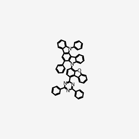 c1ccc(-c2nc(-c3ccccc3)nc(-c3ccc(-n4c5ccccc5c5c4c(-c4ccccc4)cc4c6ccccc6n(-c6ccccc6)c45)c4oc5ccccc5c34)n2)cc1